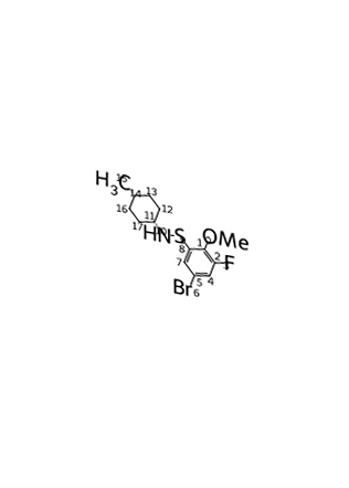 COc1c(F)cc(Br)cc1SN[C@H]1CC[C@@H](C)CC1